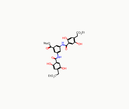 CCOC(=O)Cc1cc(O)c(C(=O)Nc2cc(NC(=O)c3cc(O)c(CC(=O)OCC)cc3O)cc(C(=O)OC)c2)cc1O